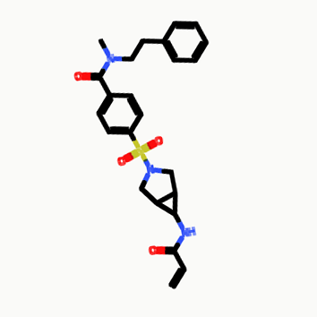 C=CC(=O)NC1C2CN(S(=O)(=O)c3ccc(C(=O)N(C)CCc4ccccc4)cc3)CC21